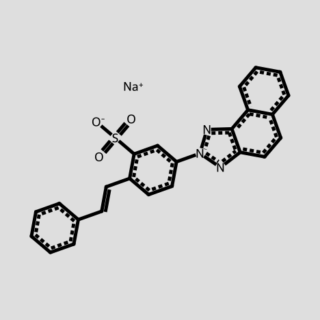 O=S(=O)([O-])c1cc(-n2nc3ccc4ccccc4c3n2)ccc1C=Cc1ccccc1.[Na+]